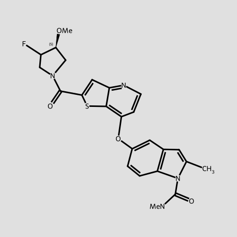 CNC(=O)n1c(C)cc2cc(Oc3ccnc4cc(C(=O)N5CC(F)[C@@H](OC)C5)sc34)ccc21